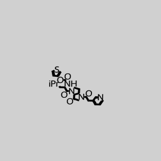 CC(C)CC(NC(=O)Oc1ccsc1)C(=O)N1CCC2C1C(=O)CN2C(=O)Cc1cccnc1